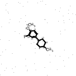 COc1ccc(C2CCC(C)CC2)cc1F